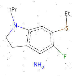 CCCN1CCc2cc(F)c(SCC)cc21.N